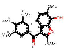 CNc1oc2c(O)c(OC)ccc2c1C(=O)c1cc(OC)c(OC)c(OC)c1